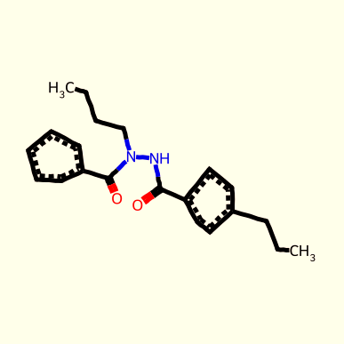 CCCCN(NC(=O)c1ccc(CCC)cc1)C(=O)c1ccccc1